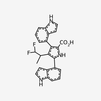 CC(c1c(-c2cccc3[nH]ccc23)[nH]c(C(=O)O)c1-c1cccc2[nH]ccc12)C(F)F